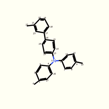 Cc1ccc(N(c2ccc(C)cc2)c2ccc(-c3cccc(C)c3)cc2)cc1